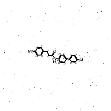 N#Cc1ccc(CCC(=O)Nc2ccc(-c3ccc(Cl)cc3)cc2)cc1